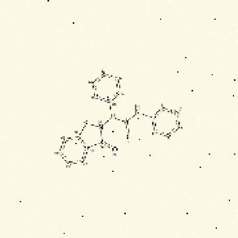 O=C(Nc1cccnc1)C(c1ccccc1)N1Cc2ccccc2C1=O